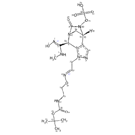 CN/C(=N\O)[C@@H]1c2c(cnn2C/C=N/OCCNC(=O)OC(C)(C)C)[C@@H]2CN1C(=O)N2OS(=O)(=O)O